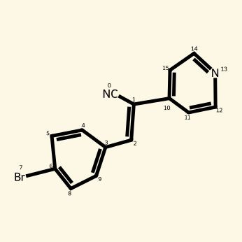 N#C/C(=C\c1ccc(Br)cc1)c1ccncc1